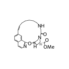 COC(=O)[C@@H]1C[C@@H]2CN1C(=O)CNCCCCCC=Cc1ccc3ccnc(c3c1)O2